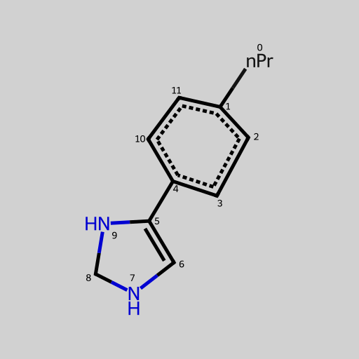 CCCc1ccc(C2=CNCN2)cc1